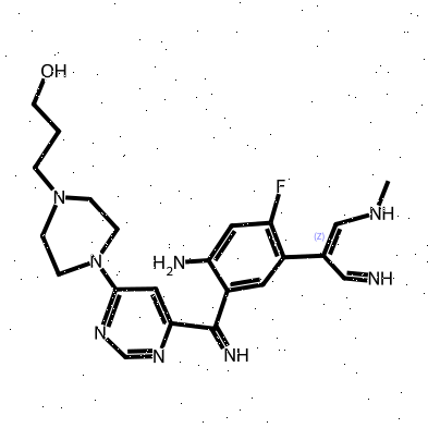 CN/C=C(\C=N)c1cc(C(=N)c2cc(N3CCN(CCCO)CC3)ncn2)c(N)cc1F